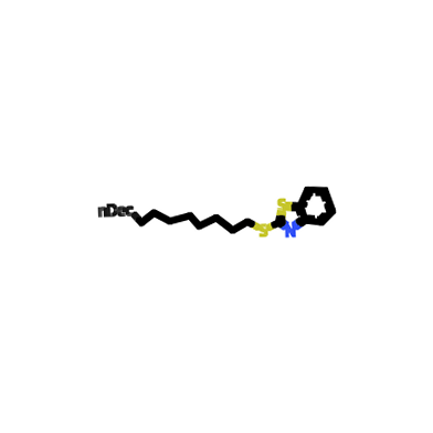 CCCCCCCCCCCCCCCCCCSc1nc2ccccc2s1